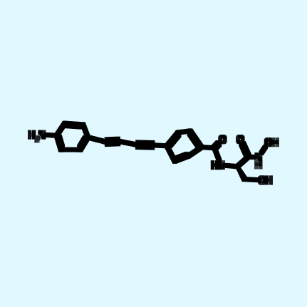 Nc1ccc(C#CC#Cc2ccc(C(=O)N[C@H](CO)C(=O)NO)cc2)cc1